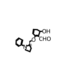 O=CC1=C(OC[C@H]2CCCN2c2ccccc2)C=CCC1O